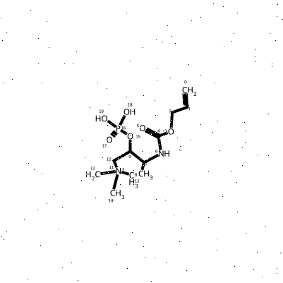 C=CCOC(=O)NC(C)C(C[N+](C)(C)C)OP(=O)(O)O